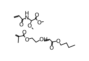 C=C(C)C(=O)OCCO.C=CC(=O)NC(OC)C(=O)OC.C=CC(=O)OCCCC